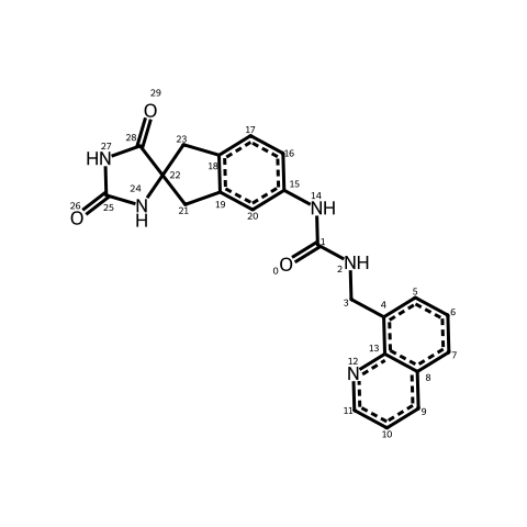 O=C(NCc1cccc2cccnc12)Nc1ccc2c(c1)CC1(C2)NC(=O)NC1=O